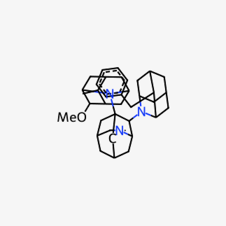 COC1C2CC3CC(CC1N3C13CC4C[N]C(CC(C4)C1)C3N1C3CC4CC(C3)C(Cc3ccccc3)C1C4)C2C